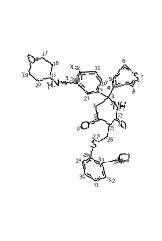 O=C1CC(c2ccsc2)(c2cccc(NC3CCOCC3)c2)NC(=O)C1CSc1ccccc1Cl